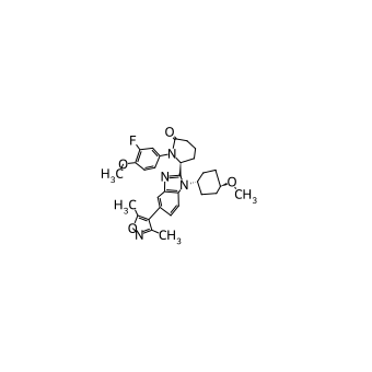 COc1ccc(N2C(=O)CCC[C@H]2c2nc3cc(-c4c(C)noc4C)ccc3n2[C@H]2CC[C@H](OC)CC2)cc1F